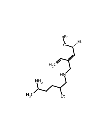 C=C/C(=C\[C@@H](CC)OCCC)CNCC(CC)CCC(C)N